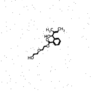 CC=C(C)C(O)c1ccccc1C(=O)OCCOCCO